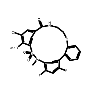 COc1c(Cl)cc2cc1S(=O)(=O)N(C)c1cc(c(F)cc1F)-c1ccccc1OCCNC2=O